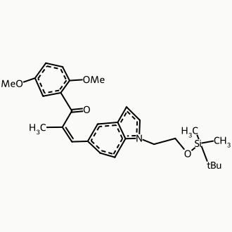 COc1ccc(OC)c(C(=O)C(C)=Cc2ccc3c(ccn3CCO[Si](C)(C)C(C)(C)C)c2)c1